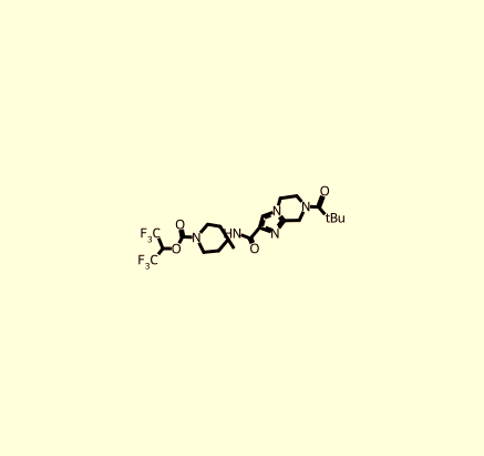 CC1(NC(=O)c2cn3c(n2)CN(C(=O)C(C)(C)C)CC3)CCN(C(=O)OC(C(F)(F)F)C(F)(F)F)CC1